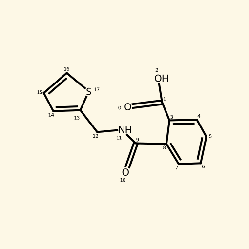 O=C(O)c1ccccc1C(=O)NCc1cccs1